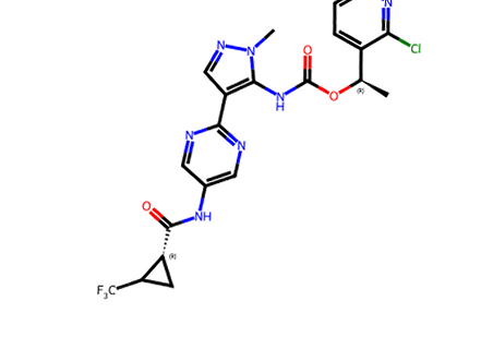 C[C@@H](OC(=O)Nc1c(-c2ncc(NC(=O)[C@@H]3CC3C(F)(F)F)cn2)cnn1C)c1cccnc1Cl